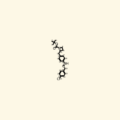 CC(C)(C)OC(=O)N1CCC1Cc1ccc(NOCc2ccc(Cl)cc2)cc1